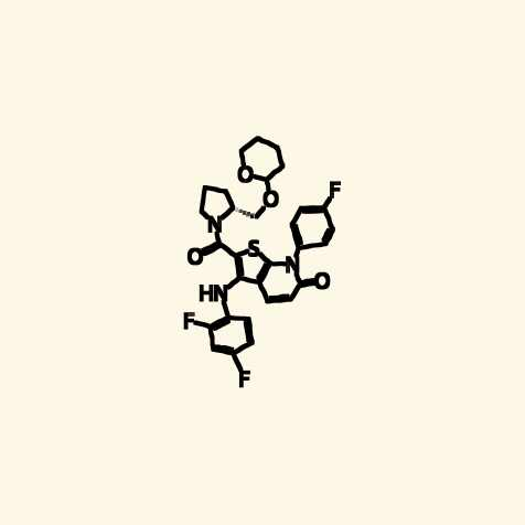 O=C(c1sc2c(ccc(=O)n2-c2ccc(F)cc2)c1Nc1ccc(F)cc1F)N1CCC[C@@H]1COC1CCCCO1